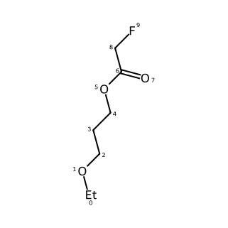 CCOCCCOC(=O)CF